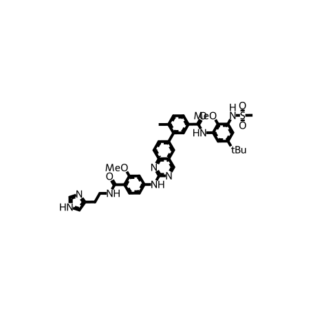 COc1cc(Nc2ncc3cc(-c4cc(C(=O)Nc5cc(C(C)(C)C)cc(NS(C)(=O)=O)c5OC)ccc4C)ccc3n2)ccc1C(=O)NCCc1c[nH]cn1